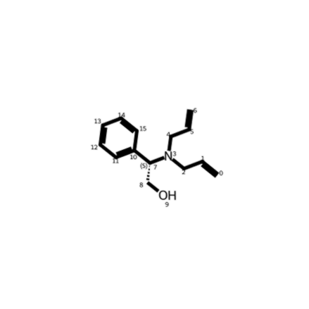 C=CCN(CC=C)[C@H](CO)c1ccccc1